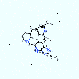 Cc1cc(CC2=CCCN(Cc3ccc4[nH]c(C)nc4n3)C2)cc(C)n1